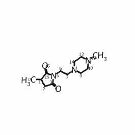 CC1CC(=O)N(CCN2CCN(C)CC2)C1=O